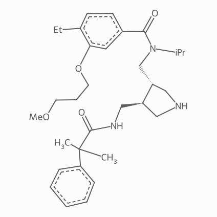 CCc1ccc(C(=O)N(C[C@@H]2CNC[C@H]2CNC(=O)C(C)(C)c2ccccc2)C(C)C)cc1OCCCOC